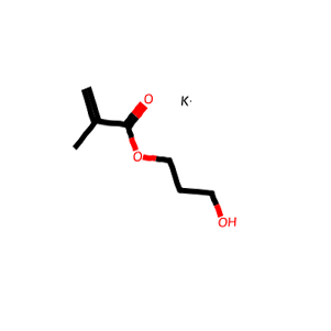 C=C(C)C(=O)OCCCO.[K]